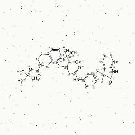 CC(C)(C)OC(=O)N1CCc2cccc(CN(CC(=O)Nc3ccc4c(c3)CC3(C4)C(=O)Nc4ncccc43)C(=O)C(C)(C)C)c2C1